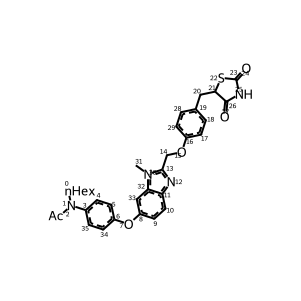 CCCCCCN(C(C)=O)c1ccc(Oc2ccc3nc(COc4ccc(CC5SC(=O)NC5=O)cc4)n(C)c3c2)cc1